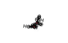 Cc1c(C(=O)NC2CCOCC2)cc(-c2ccc(S(=O)(=O)NC(C)(C)CCO)c(C(F)(F)F)c2)n1CC1CCCCC1